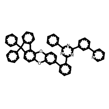 c1ccc(-c2nc(-c3cccc(-c4ccccn4)c3)nc(-c3ccccc3-c3ccc4c(c3)Oc3ccc5c(c3O4)-c3ccccc3C5(c3ccccc3)c3ccccc3)n2)cc1